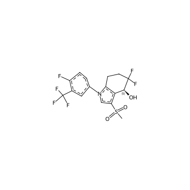 CS(=O)(=O)c1cn(-c2ccc(F)c(C(F)(F)F)c2)c2c1[C@H](O)C(F)(F)CC2